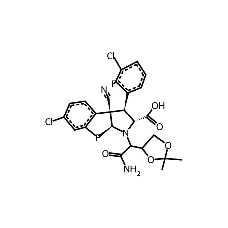 C[C@@H]1N(C(C(N)=O)C2COC(C)(C)O2)[C@@H](C(=O)O)[C@H](c2cccc(Cl)c2F)[C@@]1(C#N)c1ccc(Cl)cc1F